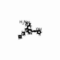 Nc1ncc(F)c(-c2cn(C3CN(C4CCC4)C3)c3cnc(C#CC4(O)CCCC4)cc23)n1